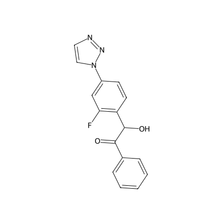 O=C(c1ccccc1)C(O)c1ccc(-n2ccnn2)cc1F